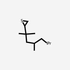 CC(C)CC(C)CC(C)(C)C1CS1